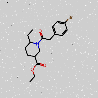 CCOC(=O)C1CCC(CC)N(C(=O)Cc2ccc(Br)cc2)C1